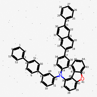 c1ccc(-c2ccc(-c3cccc(N(c4ccc(-c5ccc6cc(-c7ccccc7)ccc6c5)cc4)c4cccc5oc6ccccc6c45)c3)cc2)cc1